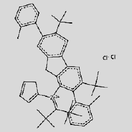 Cc1ccccc1-c1cc2c(cc1C(C)(C)C)-c1cc(C(C)(C)C)c(-c3ccccc3C)[c]([Zr+2]([C]3=CC=CC3)=[C](C(C)(C)C)C(C)(C)C)c1C2.[Cl-].[Cl-]